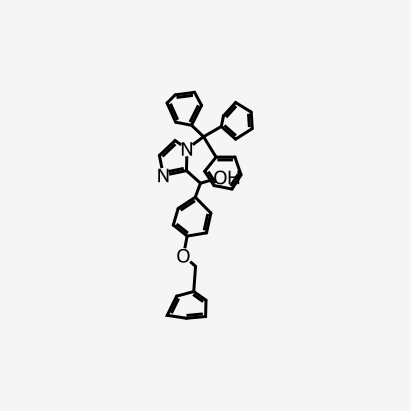 OC(c1ccc(OCc2ccccc2)cc1)c1nccn1C(c1ccccc1)(c1ccccc1)c1ccccc1